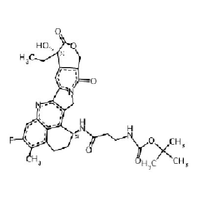 CC[C@@]1(O)C(=O)OCc2c1cc1n(c2=O)Cc2c-1nc1cc(F)c(C)c3c1c2[C@@H](NC(=O)CCNC(=O)OC(C)(C)C)CC3